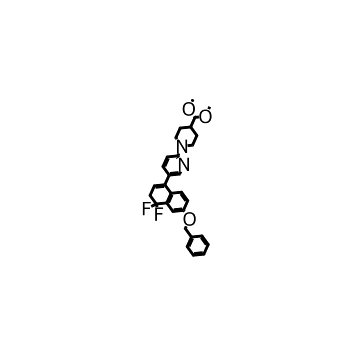 COC(OC)C1CCN(c2ccc(C3=CCC(F)(F)c4cc(OCc5ccccc5)ccc43)cn2)CC1